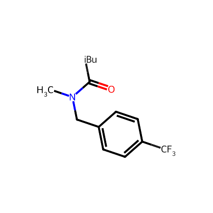 CCC(C)C(=O)N(C)Cc1ccc(C(F)(F)F)cc1